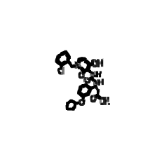 O=C(O)C[C@H](NC(=O)Nc1c(O)ccn(Cc2ccccc2Cl)c1=O)c1cccc(OC2CCCC2)c1